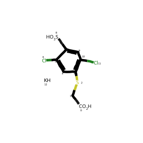 O=C(O)CSc1cc(Cl)c(S(=O)(=O)O)cc1Cl.[KH]